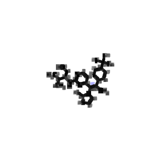 CC(C)[C@@H](CO)Nc1nccc(/C(=C(/N)c2ccc(C(F)(F)F)cc2)N2C=CSC2I)n1